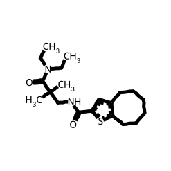 CCN(CC)C(=O)C(C)(C)CNC(=O)c1cc2c(s1)CCCCCC2